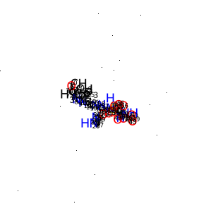 COc1ccc(CN2CCN(C3CC4(CCN(c5cc(Oc6cnc7[nH]ccc7c6)c(C(=O)NS(=O)(=O)c6cc([N+](=O)[O-])c(NC[C@H]7COCCO7)c7c6OCO7)cn5)CC4)C3)[C@H](c3ccccc3C(C)C)C2)cc1